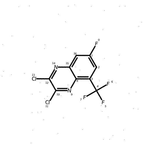 Fc1cc(C(F)(F)F)c2nc(Cl)c(Cl)nc2c1